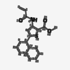 C=CC(=O)Nc1cc(-c2cccc3ccccc23)sc1C(=O)OC